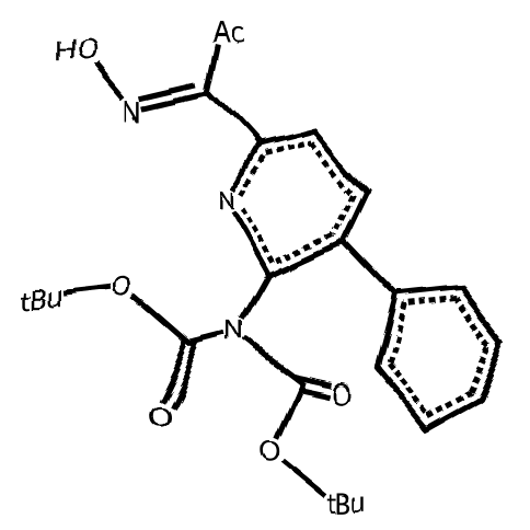 CC(=O)C(=NO)c1ccc(-c2ccccc2)c(N(C(=O)OC(C)(C)C)C(=O)OC(C)(C)C)n1